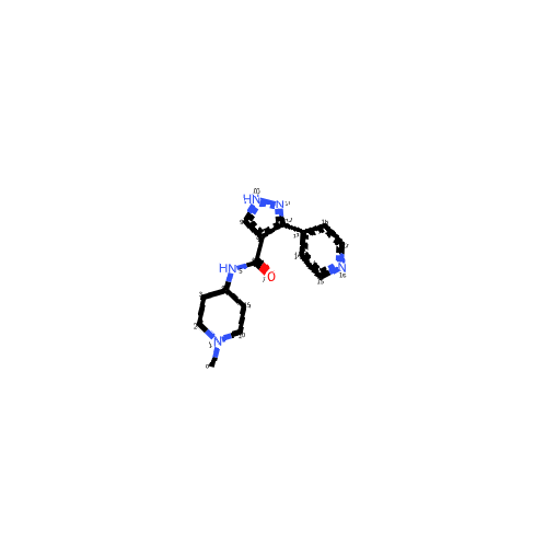 CN1CCC(NC(=O)c2c[nH]nc2-c2ccncc2)CC1